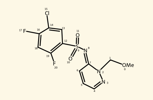 COCn1nccc/c1=N\S(=O)(=O)c1cc(Cl)c(F)cc1F